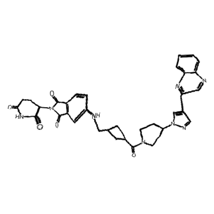 O=C1CCC(N2C(=O)c3ccc(NCC4CC(C(=O)N5CCC(n6cc(-c7cnc8ccccc8n7)cn6)CC5)C4)cc3C2=O)C(=O)N1